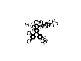 Cc1cc(C(=O)N[C@@H]2CC(C)(C)Oc3nc(-c4ccc(Cl)cc4Cl)c(-c4ccc(OC(F)(F)F)cc4)cc32)n[nH]1